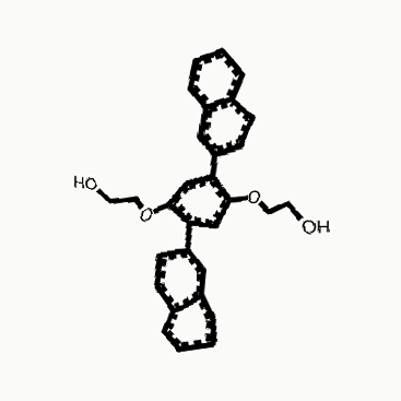 OCCOc1cc(-c2ccc3ccccc3c2)c(OCCO)cc1-c1ccc2ccccc2c1